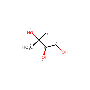 C[C@](O)(C(=O)O)[C@H](O)CO